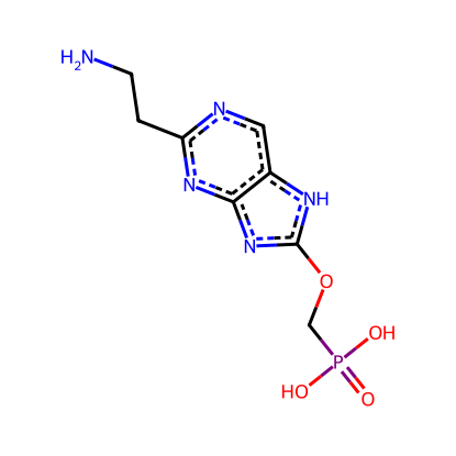 NCCc1ncc2[nH]c(OCP(=O)(O)O)nc2n1